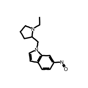 CCN1CCCC1Cn1ccc2ccc(N=O)cc21